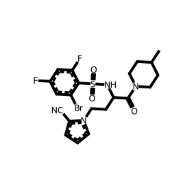 CC1CCN(C(=O)C(CCn2cccc2C#N)NS(=O)(=O)c2c(F)cc(F)cc2Br)CC1